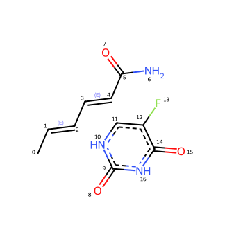 C/C=C/C=C/C(N)=O.O=c1[nH]cc(F)c(=O)[nH]1